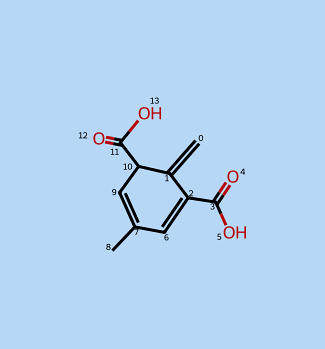 C=C1C(C(=O)O)=CC(C)=CC1C(=O)O